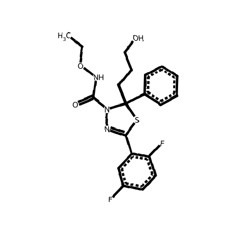 CCONC(=O)N1N=C(c2cc(F)ccc2F)SC1(CCCO)c1ccccc1